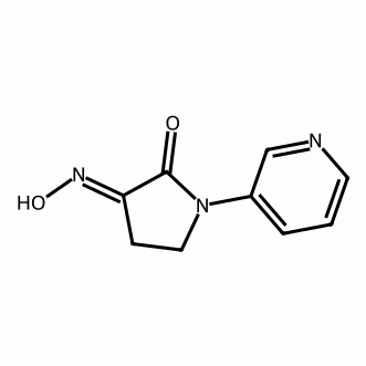 O=C1C(=NO)CCN1c1cccnc1